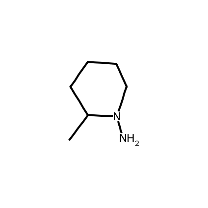 CC1CCCCN1N